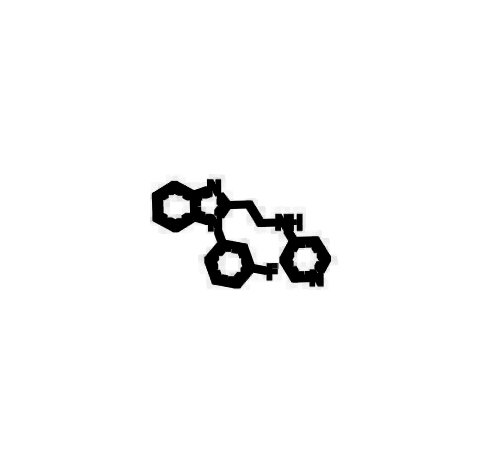 Fc1cccc(-n2c(CCNc3ccncc3)nc3ccccc32)c1